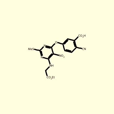 CCOC(=O)CNc1nc(SC)nc(Oc2ccc(C#N)c(C(=O)O)c2)c1[N+](=O)[O-]